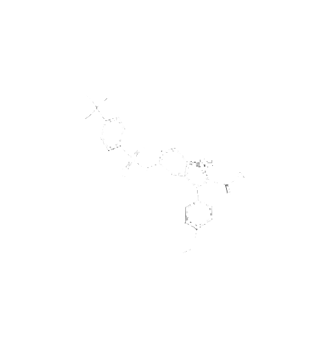 COc1ccc(-c2c(C(=O)O)[nH]c3ccc(NS(=O)(=O)c4ccc(C(C)(C)C)cc4)cc23)cc1